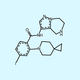 O=C(Nc1cnn2c1CNCC2)c1ccc(I)cc1N1CCC2(CC1)CC2